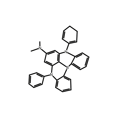 CN(C)c1cc2c3c(c1)N(c1ccccc1)c1ccccc1B3c1ccccc1N2C1=CCCC=C1